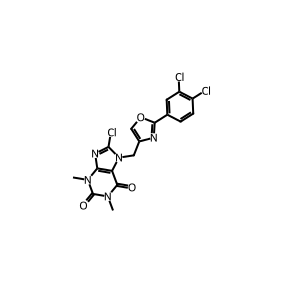 Cn1c(=O)c2c(nc(Cl)n2Cc2coc(-c3ccc(Cl)c(Cl)c3)n2)n(C)c1=O